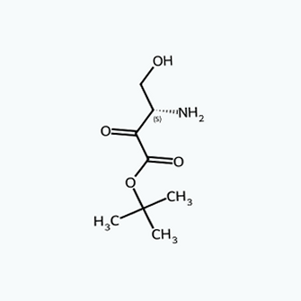 CC(C)(C)OC(=O)C(=O)[C@@H](N)CO